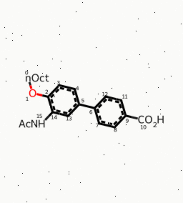 CCCCCCCCOc1ccc(-c2ccc(C(=O)O)cc2)cc1NC(C)=O